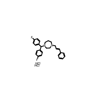 Cl.Cl.Fc1ccc(C(c2ccc(F)cc2)N2CCCN(CC=Cc3ccccc3)CC2)cc1